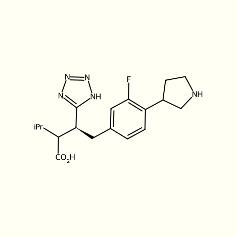 CC(C)C(C(=O)O)[C@H](Cc1ccc(C2CCNC2)c(F)c1)c1nnn[nH]1